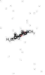 CCOC1=CC(=C=O)C(OC(=O)c2ccc(C(=O)OC3C=CC(OCC)=CC3=C=O)cc2)C=C1